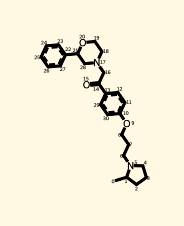 CC1CCCN1CCCOc1ccc(C(=O)CN2CCOC(c3ccccc3)C2)cc1